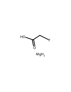 O=C(O)CF.[MgH2]